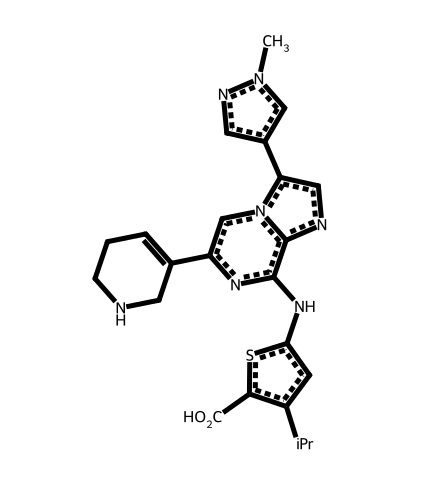 CC(C)c1cc(Nc2nc(C3=CCCNC3)cn3c(-c4cnn(C)c4)cnc23)sc1C(=O)O